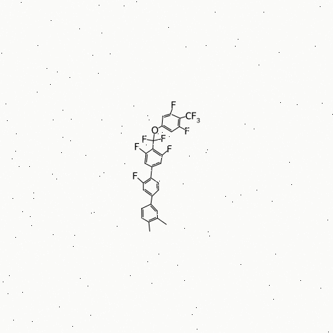 Cc1ccc(-c2ccc(-c3cc(F)c(C(F)(F)Oc4cc(F)c(C(F)(F)F)c(F)c4)c(F)c3)c(F)c2)cc1C